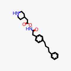 O=C(Cc1ccc(CCCCc2ccccc2)cc1)NOC(=O)CC1CCNCC1